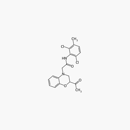 CC(=O)C1CN(CC(=O)Nc2c(Cl)ccc(C)c2Cl)c2ccccc2O1